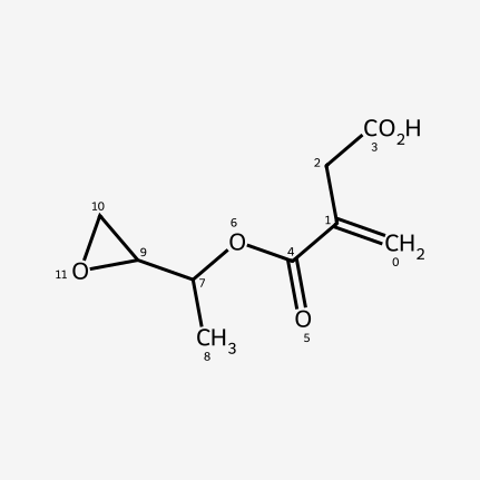 C=C(CC(=O)O)C(=O)OC(C)C1CO1